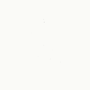 OP(O)OCCC(F)(F)F